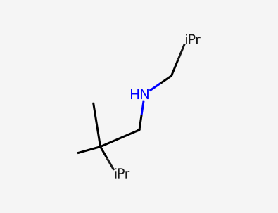 CC(C)CNCC(C)(C)C(C)C